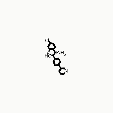 N[C@@H](c1ccc(Cl)cc1F)[C@H](O)c1ccc(-c2cccnc2)cc1